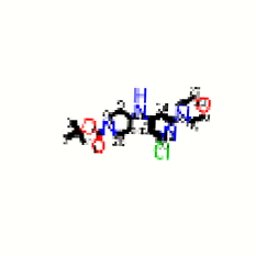 CC(C)(C)OC(=O)N1CCC(Nc2cc(Cl)nc(N3CCOCC3)c2)CC1